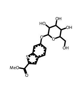 COC(=O)c1cc2ccc(OC3OC(CO)C(O)C(O)C3O)cc2s1